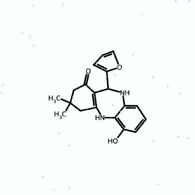 CC1(C)CC(=O)C2=C(C1)Nc1c(O)cccc1NC2c1ccco1